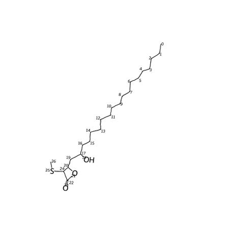 CCCCCCCCCCCCCCCCCC(O)CC1OC(=O)C1SC